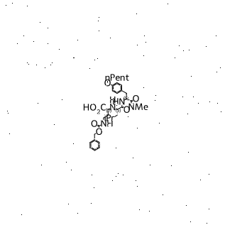 CCCCCOc1ccc(C[C@H](NC(=O)[C@H](CC(C)C)N[C@H](CCNC(=O)OCc2ccccc2)C(=O)O)C(=O)NC)cc1